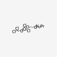 CC(=NOCCCCOc1c(Cl)cc(OCC=C(Cl)Cl)cc1Cl)C(C)C